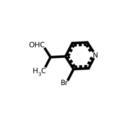 CC(C=O)c1ccncc1Br